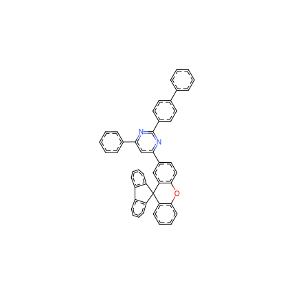 c1ccc(-c2ccc(-c3nc(-c4ccccc4)cc(-c4ccc5c(c4)C4(c6ccccc6O5)c5ccccc5-c5ccccc54)n3)cc2)cc1